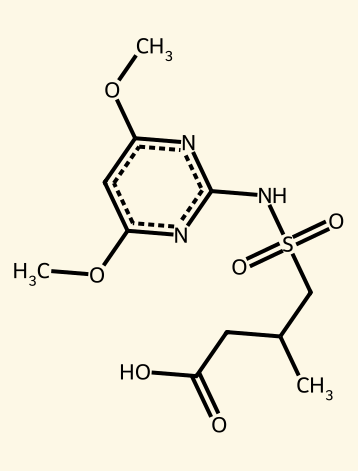 COc1cc(OC)nc(NS(=O)(=O)CC(C)CC(=O)O)n1